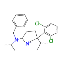 CC(C)N(Cc1ccccc1)C(C)CCC(C#N)(c1c(Cl)cccc1Cl)C(C)C